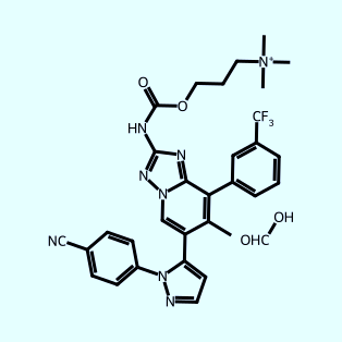 Cc1c(-c2ccnn2-c2ccc(C#N)cc2)cn2nc(NC(=O)OCCC[N+](C)(C)C)nc2c1-c1cccc(C(F)(F)F)c1.O=CO